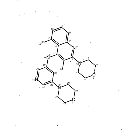 Cc1c(N2CCOCC2)nc2cccc(F)c2c1Nc1cncc(N2CCOCC2)c1